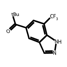 CC(C)(C)C(=O)c1cc(C(F)(F)F)c2[nH]ncc2c1